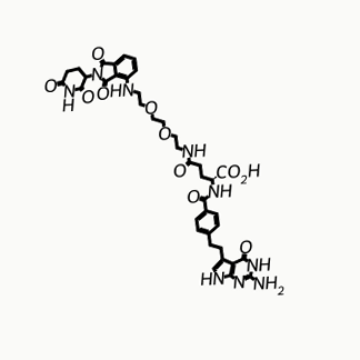 Nc1nc2[nH]cc(CCc3ccc(C(=O)N[C@H](CCC(=O)NCCOCCOCCNc4cccc5c4C(=O)N(C4CCC(=O)NC4=O)C5=O)C(=O)O)cc3)c2c(=O)[nH]1